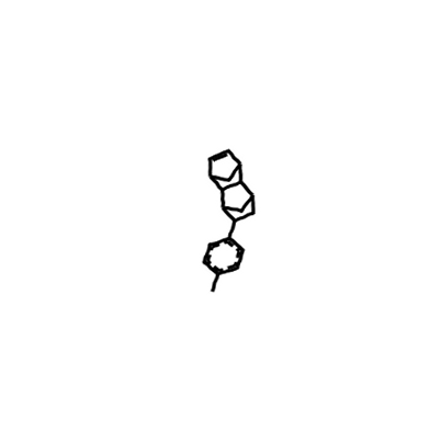 Cc1ccc(C2CC3CC2C2C4C=CC(C4)C32)cc1